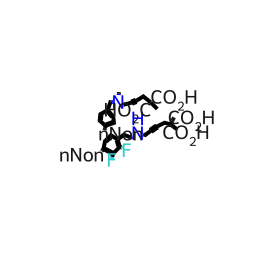 CCCCCCCCCc1ccc(CCNCC#CCC(C)(C(=O)O)C(=O)O)c(F)c1F.CCCCCCCCCc1ccc(CN(C)CC#CCC(C)(C(=O)O)C(=O)O)cc1